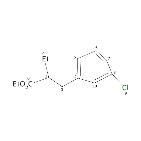 CCOC(=O)C(CC)Cc1cccc(Cl)c1